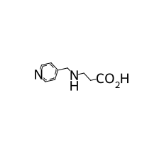 O=C(O)CCNCc1ccncc1